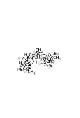 CC(C)(C)O[Si](C)(C)O[Si](C)(CCC[Si](C)(C)O[Si](C)(C)CCC[Si](C)(O[Si](C)(C)OC(C)(C)C)O[Si](C)(C)C(C)(C)C)O[Si](C)(C)C(C)(C)C